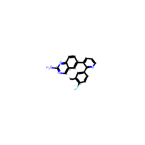 Cc1cc(-c2ncccc2-c2ccc3nc(N)ncc3c2)ccc1F